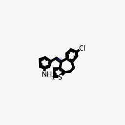 Nc1cccc(/C=C2/c3ccc(Cl)cc3CCc3sccc32)c1